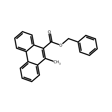 Cc1c(C(=O)OCc2ccccc2)c2ccccc2c2ccccc12